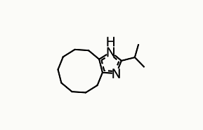 CC(C)c1nc2c([nH]1)CCCCCCCC2